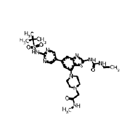 CCNC(=O)Nc1nc2cc(-c3cnc(NS(=O)(=O)C(C)(C)C)nc3)cc(N3CCN(CC(=O)NC)CC3)c2s1